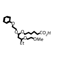 CCC(CC(OCCCCCC(=O)O)OCCOc1ccccc1)OCCOC